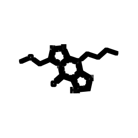 CCCCn1c2nc[nH]c2c(=O)n2c(COC)nnc12